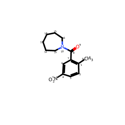 Cc1ccc([N+](=O)[O-])cc1C(=O)N1CCCCCC1